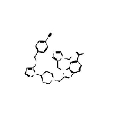 CCn1cncc1Cn1c(CN2CCC(n3nccc3OCc3ccc(C#N)cc3)CC2)nc2ccc(C(=O)O)cc21